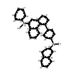 IN(c1ccc(-c2cccc3cc(N(I)c4ccccc4)c4ccccc4c23)cc1)c1ccc2ccccc2c1